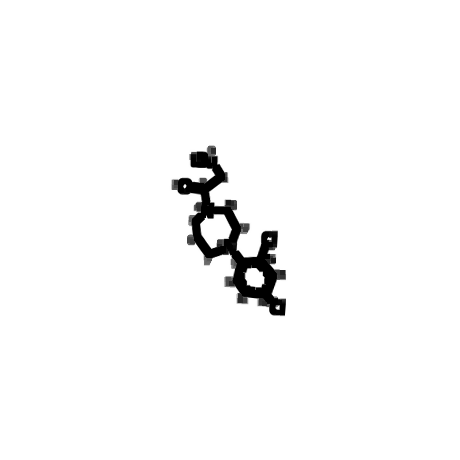 CC(C)(C)CC(=O)N1CCCN(c2ccc(Cl)cc2Cl)CC1